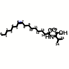 CCCCCC/C=C\CCCCCCCC(=O)N[C@H](C(=O)O)C(C)C